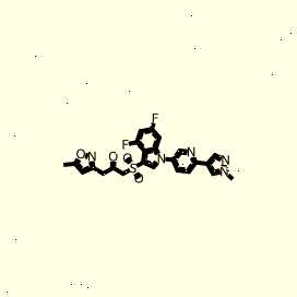 Cc1cc(CC(=O)CS(=O)(=O)c2cn(-c3ccc(-c4cnn(C)c4)nc3)c3cc(F)cc(F)c23)no1